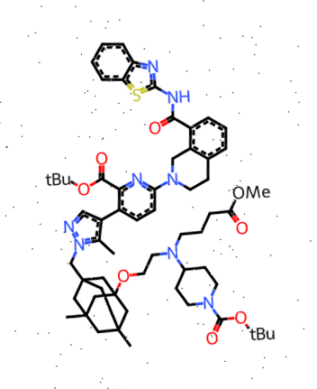 COC(=O)CCCN(CCOC12CC3(C)CC(C)(CC(Cn4ncc(-c5ccc(N6CCc7cccc(C(=O)Nc8nc9ccccc9s8)c7C6)nc5C(=O)OC(C)(C)C)c4C)(C3)C1)C2)C1CCN(C(=O)OC(C)(C)C)CC1